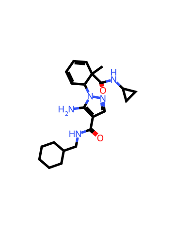 CC1(C(=O)NC2CC2)C=CC=CC1n1ncc(C(=O)NCC2CCCCC2)c1N